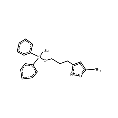 CC(C)(C)[Si](OCCCc1cc(N)on1)(c1ccccc1)c1ccccc1